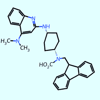 CN(C)c1cc(N[C@H]2CC[C@@H](N(CC3c4ccccc4-c4ccccc43)C(=O)O)CC2)nc2ccccc12